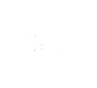 CCc1cc2c(cc1CC)CC(NC[C@H](O)c1ccc(OCc3ccccc3)c3ncccc13)C2